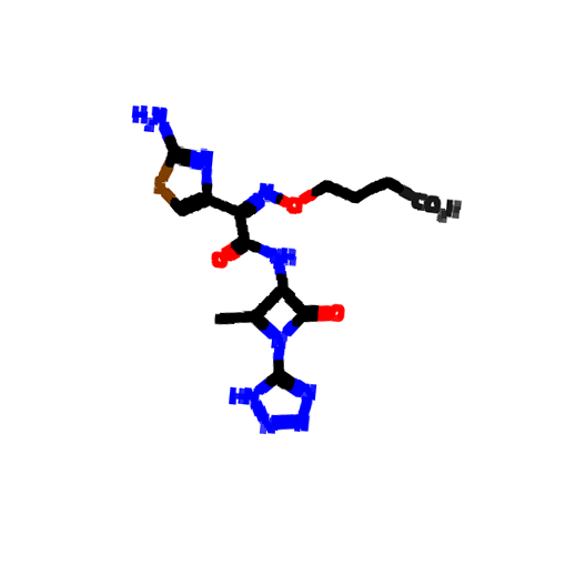 CC1C(NC(=O)C(=NOCCCC(=O)O)c2csc(N)n2)C(=O)N1c1nnn[nH]1